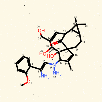 COc1ccccc1/C(N)=C/N(N)C1C(C)=CC23CCC4C(C(C=C(CO)C(O)C12O)C3=O)C4(C)C